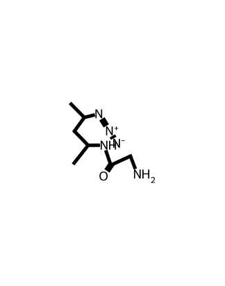 CC(CC(C)NC(=O)CN)N=[N+]=[N-]